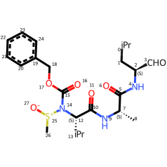 CC(C)C[C@@H](C=O)NC(=O)[C@H](C)NC(=O)[C@H](C(C)C)N(C(=O)OCc1ccccc1)[S+](C)[O-]